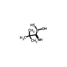 CC(C)(C)C(=N)N(O)S